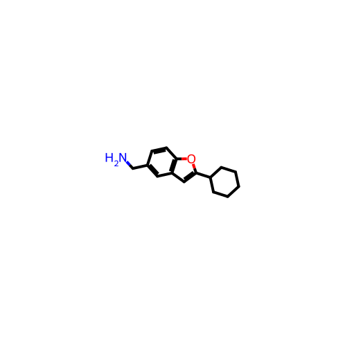 NCc1ccc2oc(C3CCCCC3)cc2c1